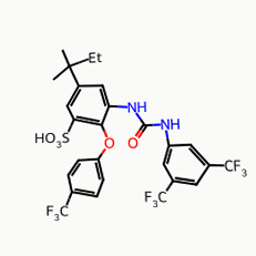 CCC(C)(C)c1cc(NC(=O)Nc2cc(C(F)(F)F)cc(C(F)(F)F)c2)c(Oc2ccc(C(F)(F)F)cc2)c(S(=O)(=O)O)c1